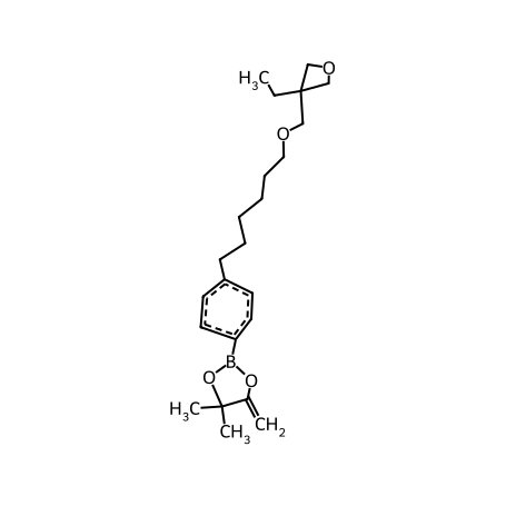 C=C1OB(c2ccc(CCCCCCOCC3(CC)COC3)cc2)OC1(C)C